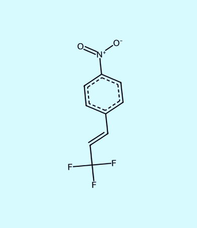 O=[N+]([O-])c1ccc(/C=C/C(F)(F)F)cc1